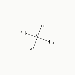 [CH2]C(C)(I)I